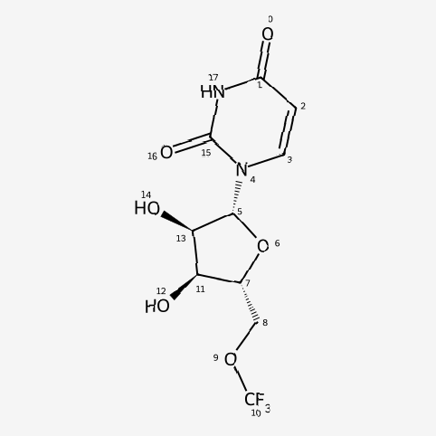 O=c1ccn([C@@H]2O[C@H](COC(F)(F)F)[C@@H](O)[C@H]2O)c(=O)[nH]1